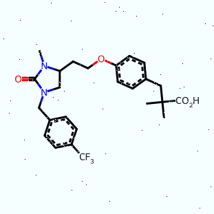 CN1C(=O)N(Cc2ccc(C(F)(F)F)cc2)CC1CCOc1ccc(CC(C)(C)C(=O)O)cc1